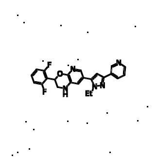 CCn1nc(-c2cccnc2)cc1-c1cnc2c(c1)NCC(c1c(F)cccc1F)O2